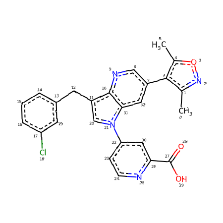 Cc1noc(C)c1-c1cnc2c(Cc3cccc(Cl)c3)cn(-c3ccnc(C(=O)O)c3)c2c1